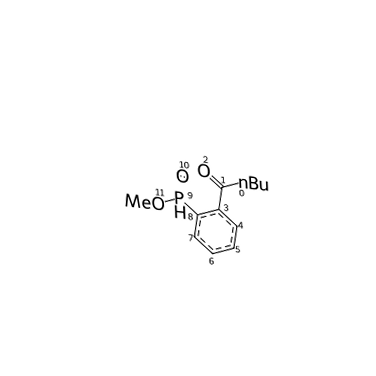 CCCCC(=O)c1ccccc1[PH](=O)OC